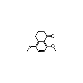 COc1ccc(SC)c2c1C(=O)CCC2